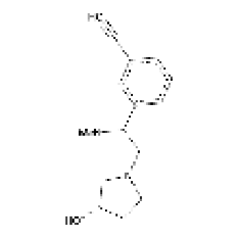 C#Cc1cccc(C(CN2CC[C@H](O)C2)NC)c1